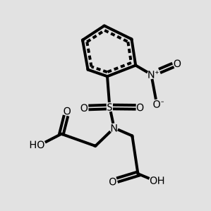 O=C(O)CN(CC(=O)O)S(=O)(=O)c1ccccc1[N+](=O)[O-]